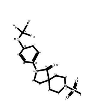 CS(=O)(=O)N1CCC2(CCN(C3=CCC(OC(F)(F)F)C=C3)C2=O)CC1